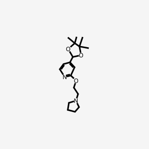 CC1(C)OC(c2ccnc(OCCN3CCCC3)c2)OC1(C)C